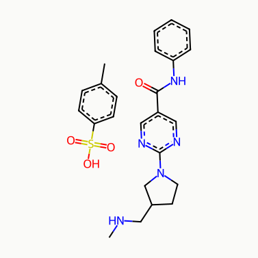 CNCC1CCN(c2ncc(C(=O)Nc3ccccc3)cn2)C1.Cc1ccc(S(=O)(=O)O)cc1